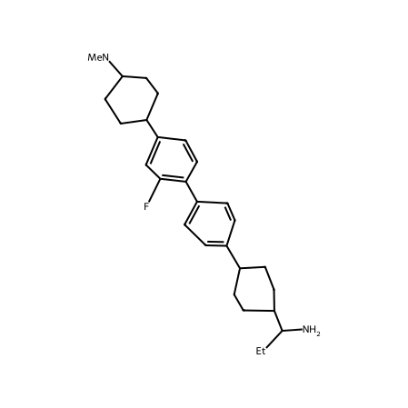 CCC(N)C1CCC(c2ccc(-c3ccc(C4CCC(NC)CC4)cc3F)cc2)CC1